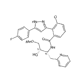 COC[C@@H](O)[C@@H](Cc1ccccn1)NC(=O)c1cccc(Cl)c1-c1cc(-c2ccc(F)cc2)[nH]n1